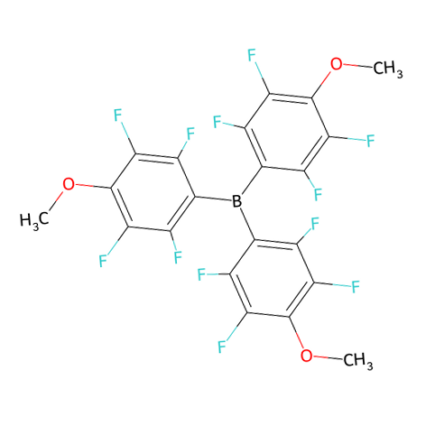 COc1c(F)c(F)c(B(c2c(F)c(F)c(OC)c(F)c2F)c2c(F)c(F)c(OC)c(F)c2F)c(F)c1F